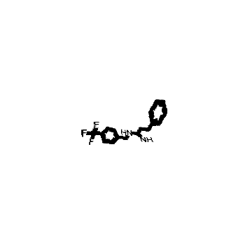 N=C(C=Cc1ccccc1)NCc1ccc(C(F)(F)F)cc1